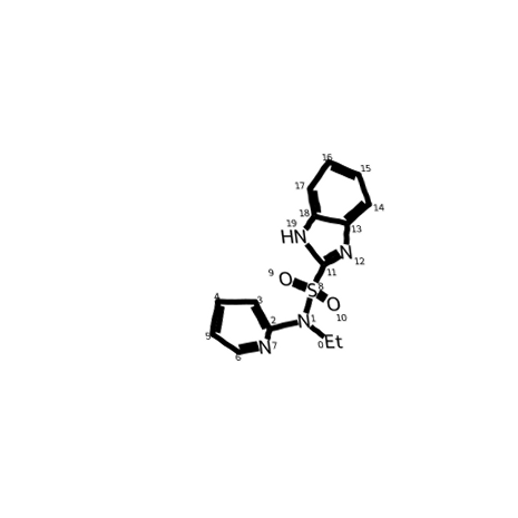 CCN(c1ccccn1)S(=O)(=O)c1nc2ccccc2[nH]1